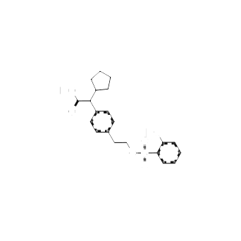 Cc1ccccc1S(=O)(=O)OCCc1ccc(C(C(=O)O)C2CCCC2)cc1